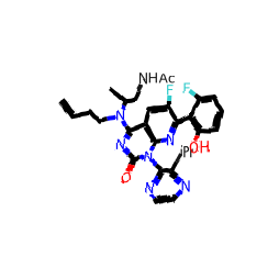 C=CCCN(c1nc(=O)n(-c2nccnc2C(C)C)c2nc(-c3c(O)cccc3F)c(F)cc12)C(C)CNC(C)=O